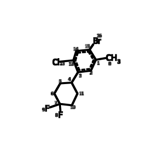 Cc1cc(C2CCC(F)(F)CC2)c(Cl)cc1Br